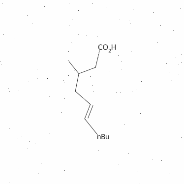 CCCCC=CCC(C)CC(=O)O